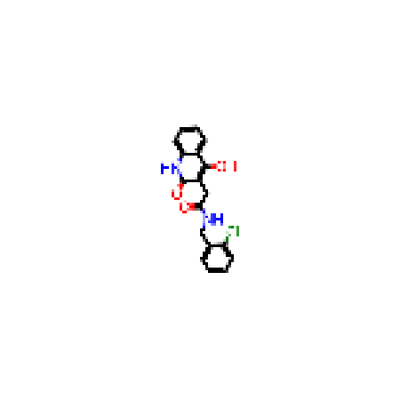 O=C(Cc1c(O)c2ccccc2[nH]c1=O)NCc1ccccc1Cl